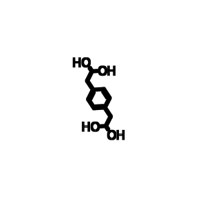 OC(O)Cc1ccc(CC(O)O)cc1